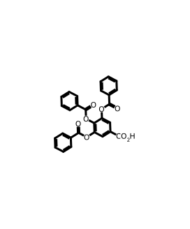 O=C(O)c1cc(OC(=O)c2ccccc2)c(OC(=O)c2ccccc2)c(OC(=O)c2ccccc2)c1